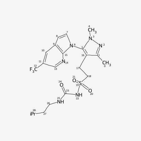 Cc1nn(C)c(-n2ccc3cc(C(F)(F)F)cnc32)c1CCS(=O)(=O)NC(=O)NCCC(C)C